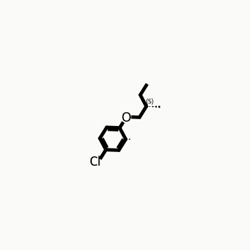 CC[C@H](C)COc1[c]cc(Cl)cc1